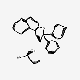 C1=CC(c2ccccc2)(c2ccccc2)Oc2ccc3ccccc3c21.C=CC(=O)OC